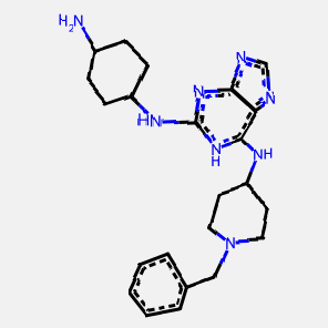 NC1CCC(Nc2nc3ncnc-3c(NC3CCN(Cc4ccccc4)CC3)[nH]2)CC1